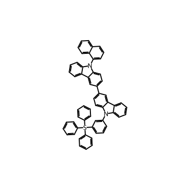 c1ccc(S(c2ccccc2)(c2ccccc2)c2cccc(-n3c4ccccc4c4cc(-c5ccc6c(c5)c5ccccc5n6-c5cccc6ccccc56)ccc43)c2)cc1